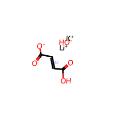 O=C([O-])/C=C/C(=O)O.[K+].[Li+].[OH-]